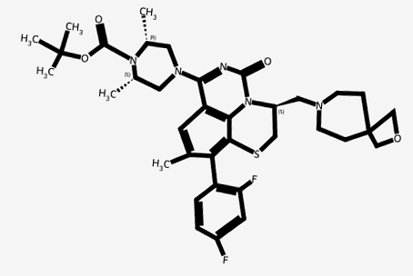 Cc1cc2c(N3C[C@@H](C)N(C(=O)OC(C)(C)C)[C@@H](C)C3)nc(=O)n3c2c(c1-c1ccc(F)cc1F)SC[C@@H]3CN1CCC2(CC1)COC2